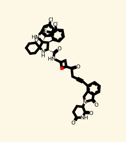 O=C1CCC(N2Cc3c(C#CCC(=O)C45CC(NC(=O)[C@@H]6NC7(CCCCC7)[C@@]7(C(=O)Nc8cc(Cl)ccc87)[C@H]6c6cccc(Cl)c6F)(C4)C5)cccc3C2=O)C(=O)N1